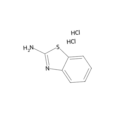 Cl.Cl.Nc1nc2ccccc2s1